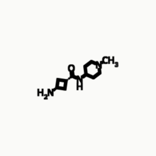 CN1CCC(NC(=O)[C@H]2C[C@H](N)C2)CC1